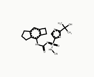 CC(C)(O)c1ncc([S@@](=O)(=NC(=O)Nc2c3c(cc4c2CC4)CCC3)NC#N)s1